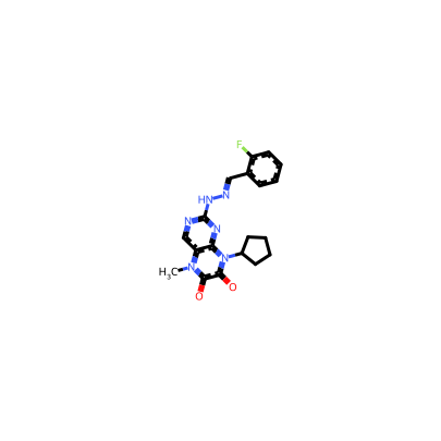 Cn1c(=O)c(=O)n(C2CCCC2)c2nc(NN=Cc3ccccc3F)ncc21